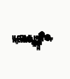 CC(C)(C)CC(=O)Nc1cncc(-c2cnc3[nH]nc(-c4nc5c(-c6ccc(F)cc6)cccc5[nH]4)c3c2)c1